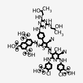 Cc1c(C#N)c(Nc2ccc(Cl)c(S(=O)(=O)O)c2)nc(Nc2ccc(Cl)c(S(=O)(=O)O)c2)c1N=Nc1sc(N=Nc2cc(S(=O)(=O)O)c3cc(S(=O)(=O)O)cc(S(=O)(=O)O)c3c2)c(-c2ccc(Nc3nc(NCC(C)O)nc(NCC(C)O)n3)cc2)c1C#N